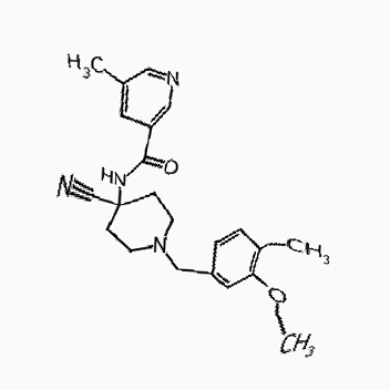 CCOc1cc(CN2CCC(C#N)(NC(=O)c3cncc(C)c3)CC2)ccc1C